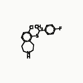 CC(Sc1c(Cl)ccc2c1CCNCC2)c1ccc(F)cc1